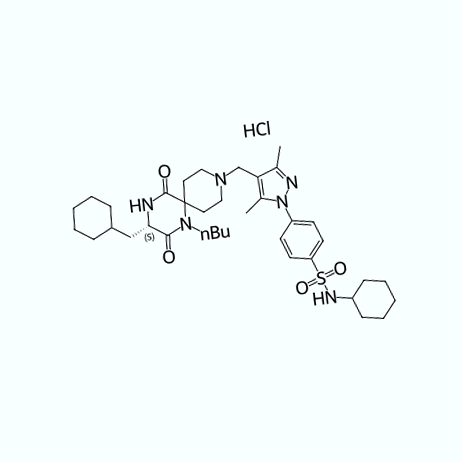 CCCCN1C(=O)[C@H](CC2CCCCC2)NC(=O)C12CCN(Cc1c(C)nn(-c3ccc(S(=O)(=O)NC4CCCCC4)cc3)c1C)CC2.Cl